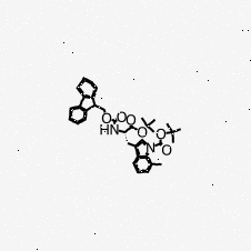 Cc1cccc2c(C[C@H](NC(=O)OCC3c4ccccc4-c4ccccc43)C(=O)OC(C)(C)C)cn(C(=O)OC(C)(C)C)c12